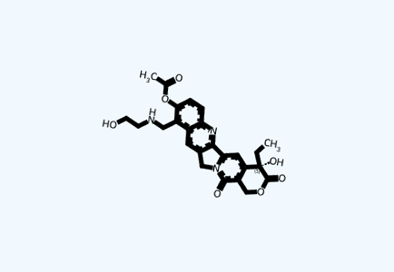 CC[C@@]1(O)C(=O)OCc2c1cc1n(c2=O)Cc2cc3c(CNCCO)c(OC(C)=O)ccc3nc2-1